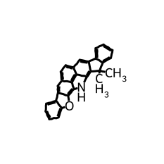 CC1(C)c2ccccc2-c2cc3ccc4cc5c6ccccc6oc5c5[nH]c(c21)c3c45